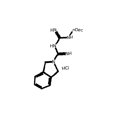 CCCCCCCCCCNC(=N)NC(=N)N1Cc2ccccc2C1.Cl